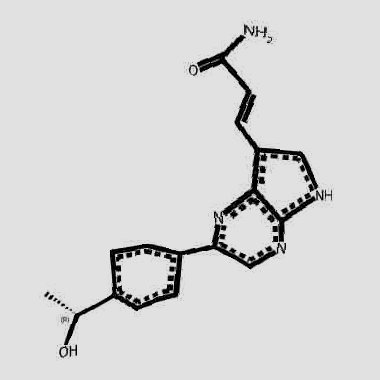 C[C@@H](O)c1ccc(-c2cnc3[nH]cc(C=CC(N)=O)c3n2)cc1